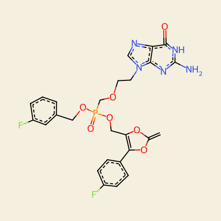 C=C1OC(COP(=O)(COCCn2cnc3c(=O)[nH]c(N)nc32)OCc2cccc(F)c2)=C(c2ccc(F)cc2)O1